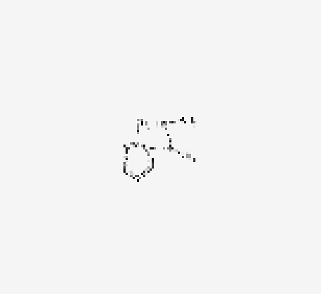 CNN(C)c1ccccc1C